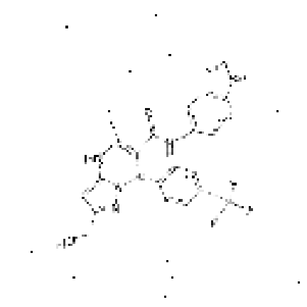 CC1=C(C(=O)Nc2ccc3[nH]ncc3c2)[C@H](c2ccc(C(F)(F)F)cc2)n2nc(CO)cc2N1